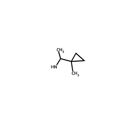 CC([NH])C1(C)CC1